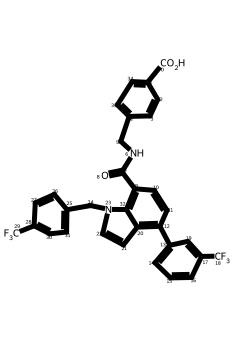 O=C(O)c1ccc(CNC(=O)c2ccc(-c3cccc(C(F)(F)F)c3)c3ccn(Cc4ccc(C(F)(F)F)cc4)c23)cc1